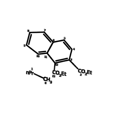 CCCC.CCOC(=O)c1ccc2ccccc2c1C(=O)OCC